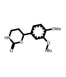 CCCCOc1cc(C2CCNC(=O)O2)ccc1OC